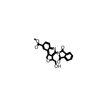 COC(=O)c1ccc2nc(N3C(=O)c4ccccc4C3=O)c3c(c2c1)COC3CO